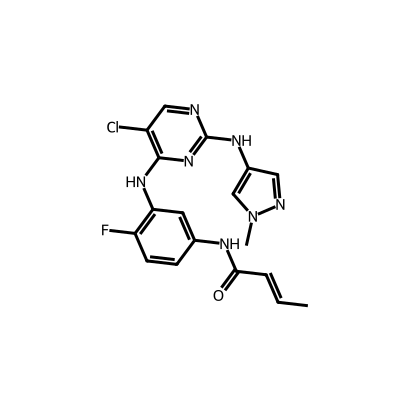 C/C=C/C(=O)Nc1ccc(F)c(Nc2nc(Nc3cnn(C)c3)ncc2Cl)c1